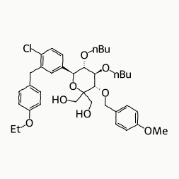 CCCCO[C@@H]1[C@@H](OCCCC)[C@H](OCc2ccc(OC)cc2)C(CO)(CO)O[C@H]1c1ccc(Cl)c(Cc2ccc(OCC)cc2)c1